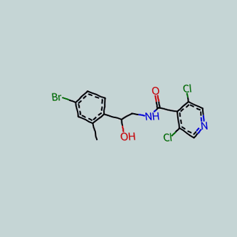 Cc1cc(Br)ccc1C(O)CNC(=O)c1c(Cl)cncc1Cl